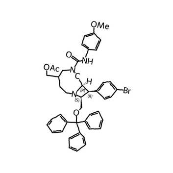 COc1ccc(NC(=O)N2CC(COC(C)=O)CCN3[C@H](COC(c4ccccc4)(c4ccccc4)c4ccccc4)[C@H](c4ccc(Br)cc4)[C@@H]3C2)cc1